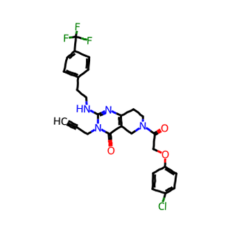 C#CCn1c(NCCc2ccc(C(F)(F)F)cc2)nc2c(c1=O)CN(C(=O)COc1ccc(Cl)cc1)CC2